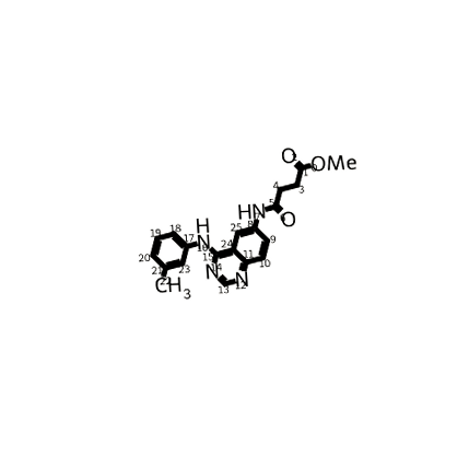 COC(=O)CCC(=O)Nc1ccc2ncnc(Nc3cccc(C)c3)c2c1